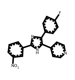 O=[N+]([O-])c1cccc(-c2nc(-c3ccc(F)cc3)c(-c3ccncc3)[nH]2)c1